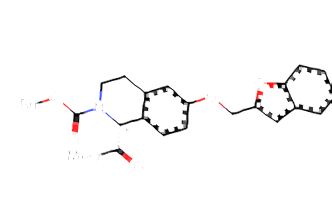 COC(=O)[C@H]1c2ccc(OCc3cc4ccccc4o3)cc2CCN1C(=O)OC(C)(C)C